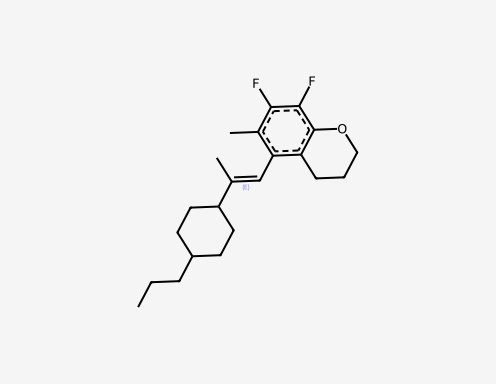 CCCC1CCC(/C(C)=C/c2c(C)c(F)c(F)c3c2CCCO3)CC1